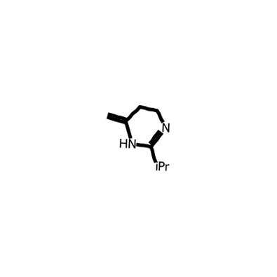 C=C1CCN=C(C(C)C)N1